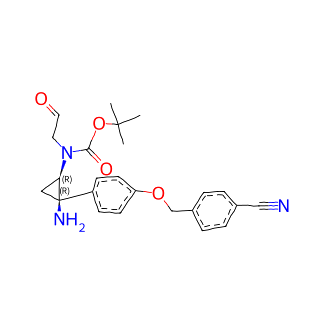 CC(C)(C)OC(=O)N(CC=O)[C@@H]1C[C@@]1(N)c1ccc(OCc2ccc(C#N)cc2)cc1